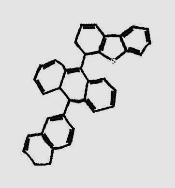 C1=CC2=C(C3CC=Cc4c3sc3ccccc43)c3ccccc3C(c3ccc4c(c3)C=CCC4)C2C=C1